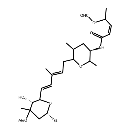 CC[C@@H]1CC(C)(OC)[C@H](O)C(/C=C/C(C)=C/CC2OC(C)[C@H](NC(=O)/C=C\C(C)OC=O)CC2C)O1